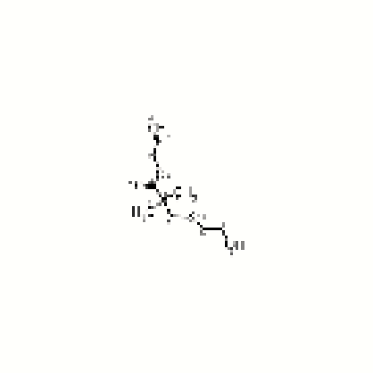 C=CCOC(=O)C(C)(C)CSCCO